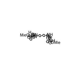 COC(=O)N[C@@H](C(=O)N1CCCN1C1=NC(c2ccc(-c3ccc(-c4c[nH]c(N5CCCN5C(=O)[C@H](NC(=O)OC)c5ccccc5)n4)cc3)cc2)CN1)c1ccccc1